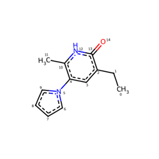 CCc1cc(-n2cccc2)c(C)[nH]c1=O